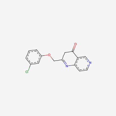 O=C1CC(COc2cccc(Cl)c2)=Nc2ccncc21